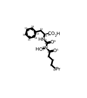 CC(C)CCCC(=O)N(O)C(=O)N[C@@H](Cc1ccccc1)C(=O)O